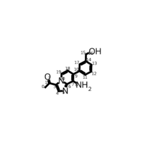 CC(=O)c1cnc2c(N)c(-c3cccc(CO)c3)ccn12